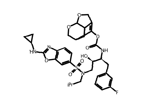 CC(C)CN(C[C@@H](O)[C@H](Cc1cccc(F)c1)NC(=O)OC1=C2COC3OCC1CC23)S(=O)(=O)c1ccc2nc(NC3CC3)oc2c1